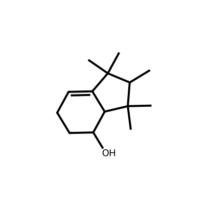 CC1C(C)(C)C2=CCCC(O)C2C1(C)C